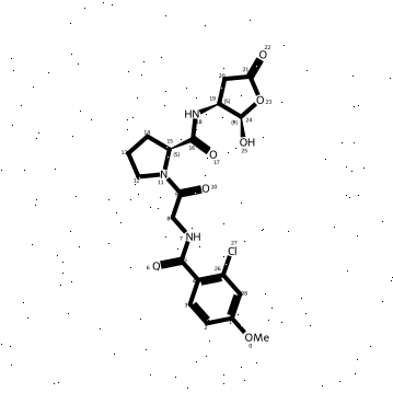 COc1ccc(C(=O)NCC(=O)N2CCC[C@H]2C(=O)N[C@H]2CC(=O)O[C@H]2O)c(Cl)c1